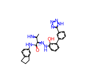 CC(=N)/C(=N/Nc1cccc(-c2cccc(-c3nnn[nH]3)c2)c1O)C(=O)Nc1ccc2c(c1)CCC2